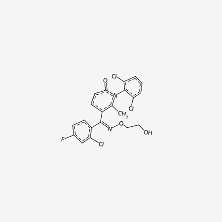 Cc1c(/C(=N\OCCO)c2ccc(F)cc2Cl)ccc(=O)n1-c1c(Cl)cccc1Cl